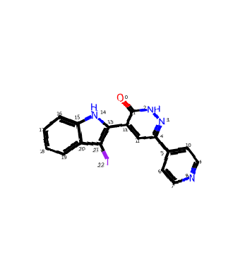 O=c1[nH]nc(-c2ccncc2)cc1-c1[nH]c2ccccc2c1I